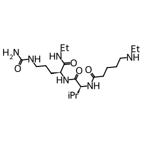 CCNCCCCC(=O)N[C@H](C(=O)N[C@@H](CCCNC(N)=O)C(=O)NCC)C(C)C